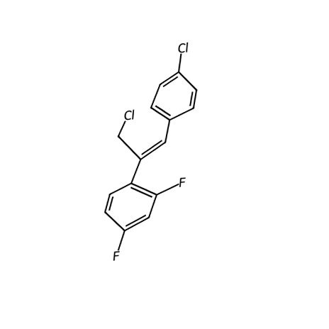 Fc1ccc(C(=Cc2ccc(Cl)cc2)CCl)c(F)c1